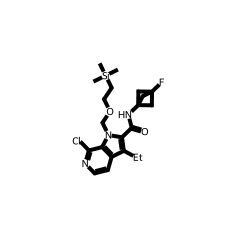 CCc1c(C(=O)NC23CC(F)(C2)C3)n(COCC[Si](C)(C)C)c2c(Cl)nccc12